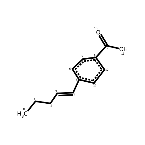 CCCC=Cc1ccc(C(=O)O)cc1